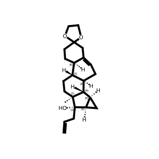 C=CC[C@]1(O)[C@@H]2C[C@@H]2[C@H]2[C@@H]3CC=C4CC5(CC[C@@H]4[C@H]3CC[C@@]21C)OCCO5